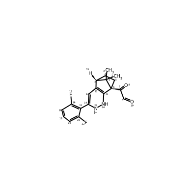 CC1(C)[C@H]2CC[C@]1(C(=O)C=O)C1=C2C=C(c2c(F)cccc2F)NN1